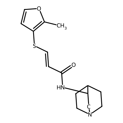 Cc1occc1SC=CC(=O)NC1CN2CCC1CC2